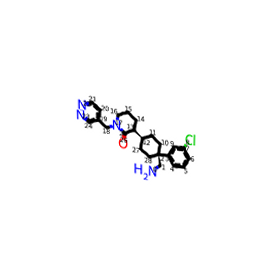 NC[C@]1(c2cccc(Cl)c2)CC[C@H](C2CCCN(Cc3ccnnc3)C2=O)CC1